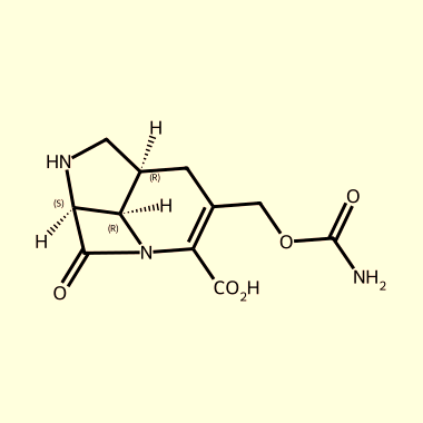 NC(=O)OCC1=C(C(=O)O)N2C(=O)[C@H]3NC[C@@H](C1)[C@H]32